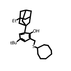 CCC12CC3CC(C1)CC(c1cc(C(C)(C)C)cc(CSC4CCCCCCC4)c1O)(C3)C2